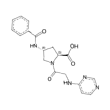 O=C(N[C@@H]1C[C@@H](C(=O)O)N(C(=O)CNc2ccncn2)C1)c1ccccc1